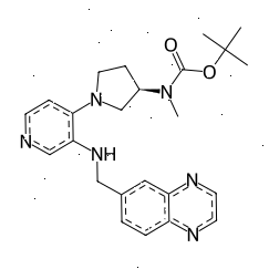 CN(C(=O)OC(C)(C)C)[C@@H]1CCN(c2ccncc2NCc2ccc3nccnc3c2)C1